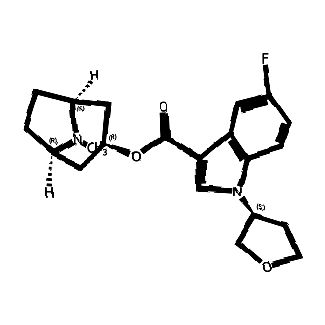 CN1[C@@H]2CC[C@H]1C[C@@H](OC(=O)c1cn([C@H]3CCOC3)c3ccc(F)cc13)C2